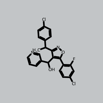 CC(c1ccc(Cl)cc1)c1noc(-c2ccc(Cl)cc2F)c1C(O)c1cccnc1